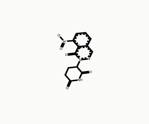 O=C1CCC(n2ncc3cccc([N+](=O)[O-])c3c2=O)C(=O)N1